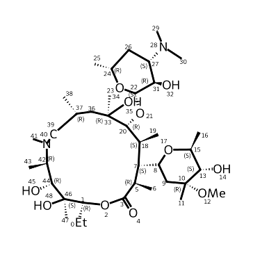 CC[C@H]1OC(=O)[C@H](C)[C@@H](C2C[C@@](C)(OC)[C@@H](O)[C@H](C)O2)[C@H](C)[C@@H](O[C@@H]2O[C@H](C)C[C@H](N(C)C)[C@H]2O)[C@](C)(O)C[C@@H](C)CN(C)[C@H](C)[C@@H](O)[C@]1(C)O